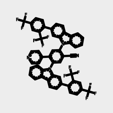 N#Cc1cc(-n2c3ccccc3c3ccc(-c4ccc(C(F)(F)F)cc4C(F)(F)F)cc32)c(-c2ccncc2)cc1-n1c2ccccc2c2ccc(-c3ccc(C(F)(F)F)cc3C(F)(F)F)cc21